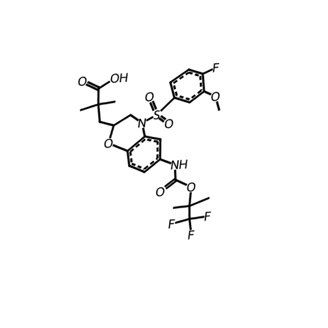 COc1cc(S(=O)(=O)N2CC(CC(C)(C)C(=O)O)Oc3ccc(NC(=O)OC(C)(C)C(F)(F)F)cc32)ccc1F